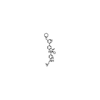 C=C(C(=O)Cc1ccc(NCCN(C)C)nc1)c1cc(-c2cncc(CN3CCCCC3)c2)ccc1CCC